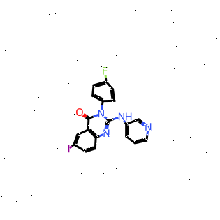 O=c1c2cc(I)ccc2nc(Nc2cccnc2)n1-c1ccc(F)cc1